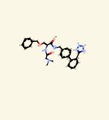 CN(C)CC(=O)NC(COCc1ccccc1)C(=O)NCc1ccc(-c2ccccc2-c2nnn[nH]2)cc1